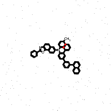 CC1C=CC(N(c2ccc3c(ccc4nc(-c5ccccc5)oc43)c2)c2ccc(-c3cccc(-c4cccc5ccccc45)c3)cc2-c2ccccc2)=CC1